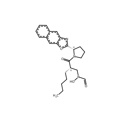 CCCCC[C@@H](CN(O)C=O)C(=O)N1CCC[C@H]1c1nc2cc3ccccc3cc2o1